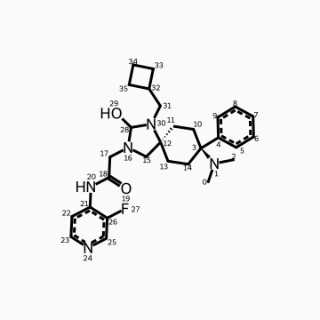 CN(C)[C@]1(c2ccccc2)CC[C@]2(CC1)CN(CC(=O)Nc1ccncc1F)C(O)N2CC1CCC1